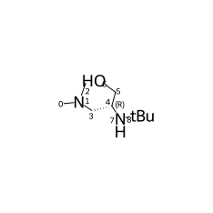 CN(C)C[C@H](CO)NC(C)(C)C